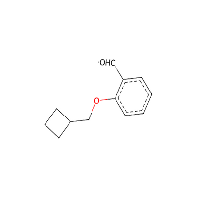 O=[C]c1ccccc1OCC1CCC1